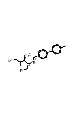 CC(C)C[C@H](N[C@@H](c1ccc(-c2ccc(F)cc2)cc1)C(F)(F)F)C(=O)NCC#N